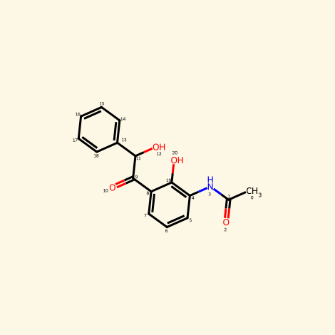 CC(=O)Nc1cccc(C(=O)C(O)c2ccccc2)c1O